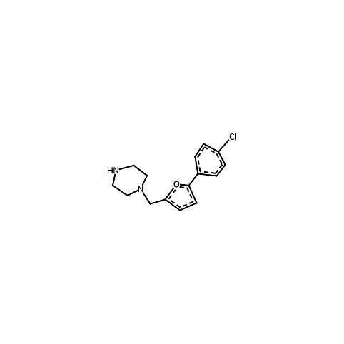 Clc1ccc(-c2ccc(CN3CCNCC3)o2)cc1